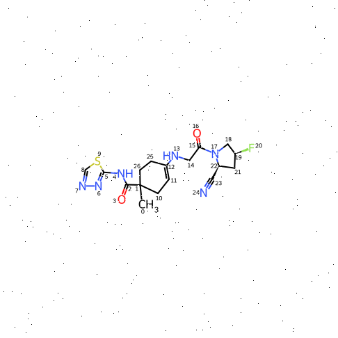 CC1(C(=O)Nc2nncs2)CC=C(NCC(=O)N2C[C@@H](F)C[C@H]2C#N)CC1